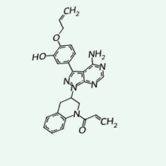 C=CCOc1ccc(-c2nn(C3Cc4ccccc4N(C(=O)C=C)C3)c3ncnc(N)c23)cc1O